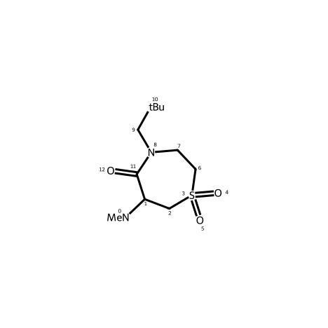 CNC1CS(=O)(=O)CCN(CC(C)(C)C)C1=O